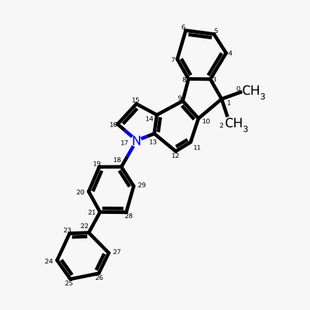 CC1(C)c2ccccc2-c2c1ccc1c2ccn1-c1ccc(-c2ccccc2)cc1